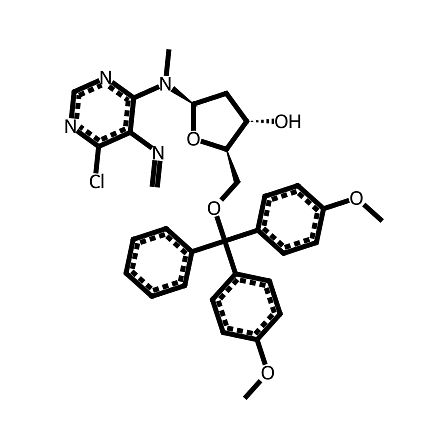 C=Nc1c(Cl)ncnc1N(C)[C@H]1C[C@H](O)[C@@H](COC(c2ccccc2)(c2ccc(OC)cc2)c2ccc(OC)cc2)O1